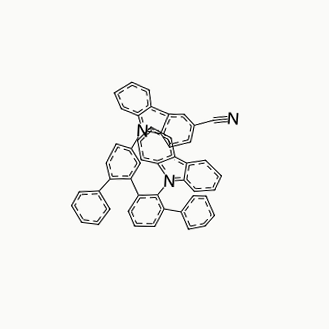 N#Cc1ccc2c(c1)c1ccccc1n2-c1ccc(-c2ccccc2)c(-c2cccc(-c3ccccc3)c2-n2c3ccccc3c3ccccc32)c1